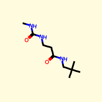 CNC(=O)NCCC(=O)NCC(C)(C)C